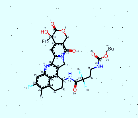 CC[C@@]1(O)C(=O)OCc2c1cc1n(c2=O)Cc2c-1nc1cc(F)c(C)c3c1c2[C@@H](NC(=O)C(F)(F)CCNC(=O)OC(C)(C)C)CC3